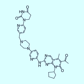 CC(=O)c1c(C)c2cnc(Nc3ccc(N4CCN(Cc5ccc(N6CCC(=O)NC6=O)nc5)CC4)cn3)nc2n(C2CCCC2)c1=O